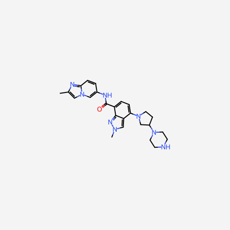 Cc1cn2cc(NC(=O)c3ccc(N4CCC(N5CCNCC5)C4)c4cn(C)nc34)ccc2n1